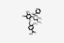 Cc1cc(N(CC(C)C)S(=O)(=O)c2cccnc2)c(OCc2ccc(C(=O)O)cc2C)cc1Cl